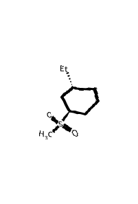 CC[C@@H]1CCC[C@@H](S(C)(=O)=O)C1